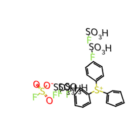 O=S(=O)(O)F.O=S(=O)(O)F.O=S(=O)(O)F.O=S(=O)(O)F.O=S(=O)(O)F.O=S(=O)([O-])F.c1ccc([S+](c2ccccc2)c2ccccc2)cc1